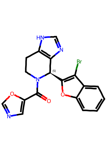 O=C(c1cnco1)N1CCc2[nH]cnc2[C@H]1c1oc2ccccc2c1Br